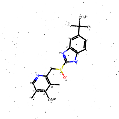 CCC(CC)(C(=O)O)c1ccc2[nH]c([S+]([O-])Cc3ncc(C)c(OC)c3C)nc2c1